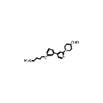 COCCCCOc1cccc(-c2ccnc(N3CCC(C=O)CC3)c2)c1